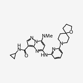 CNc1cc(Nc2cccc(N3CCC4(CCCO4)CC3)n2)nc2c(C(=O)NC3CC3)cnn12